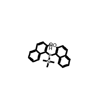 C[Si](C)(C)P(c1c(O)ccc2ccccc12)c1c(O)ccc2ccccc12